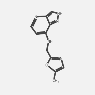 Cc1cnc(CNc2ccnc3c[nH]nc23)o1